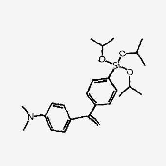 C=C(c1ccc(N(C)C)cc1)c1ccc([Si](OC(C)C)(OC(C)C)OC(C)C)cc1